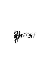 CSc1nc(N2CCC3(CCC(CC(O)O)CC3)CC2)cc(C(F)(F)F)n1